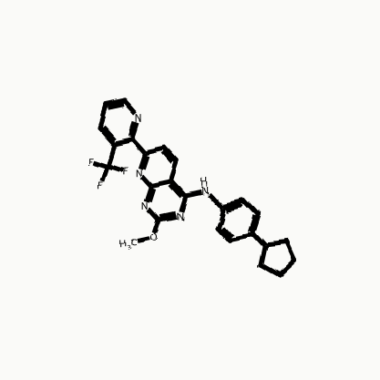 COc1nc(Nc2ccc(C3CCCC3)cc2)c2ccc(-c3ncccc3C(F)(F)F)nc2n1